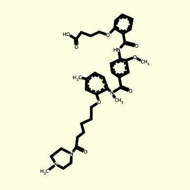 COc1cc(C(=O)N(C)c2ccc(C)cc2OCCCCCC(=O)N2CCN(C)CC2)ccc1NC(=O)c1ccccc1OCCCC(=O)O